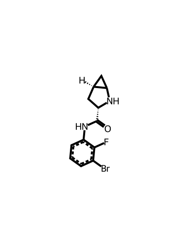 O=C(Nc1cccc(Br)c1F)[C@@H]1C[C@H]2CC2N1